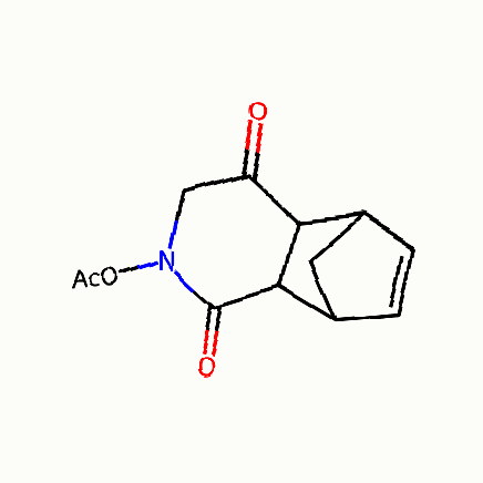 CC(=O)ON1CC(=O)C2C3C=CC(C3)C2C1=O